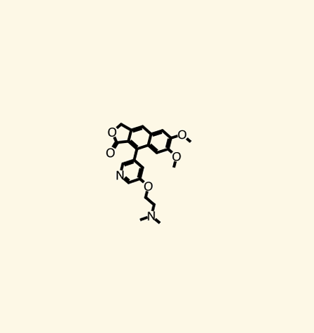 COc1cc2cc3c(c(-c4cncc(OCCN(C)C)c4)c2cc1OC)C(=O)OC3